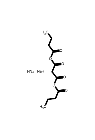 CCCC(=O)OC(=O)CC(=O)OC(=O)CCC.[NaH].[NaH]